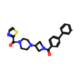 O=C(c1ccc(-c2c[c]ccc2)cc1)N1CC(N2CCN(C(=O)c3nccs3)CC2)C1